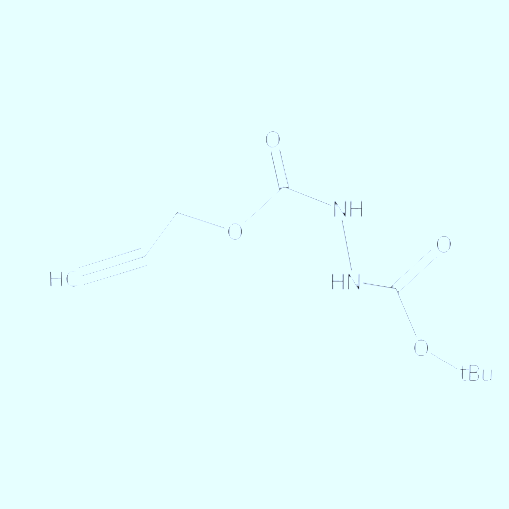 C#CCOC(=O)NNC(=O)OC(C)(C)C